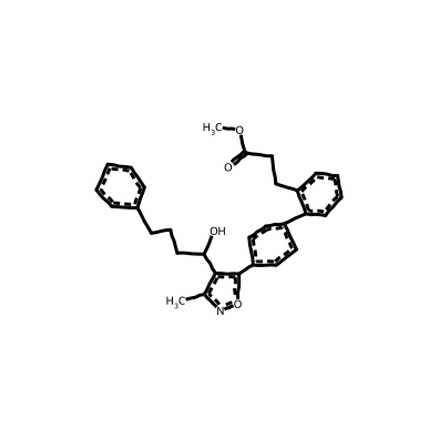 COC(=O)CCc1ccccc1-c1ccc(-c2onc(C)c2C(O)CCCc2ccccc2)cc1